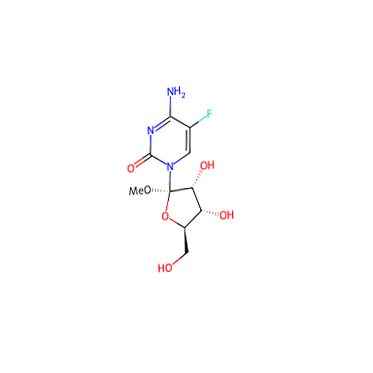 CO[C@@]1(n2cc(F)c(N)nc2=O)O[C@H](CO)[C@@H](O)[C@H]1O